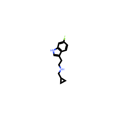 Fc1ccc2c(CCNCC3CC3)c[nH]c2c1